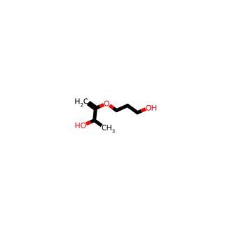 C=C(OCCCO)C(C)O